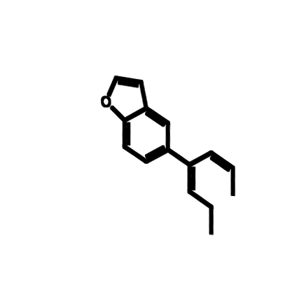 C/C=C\C(=C/CC)c1ccc2occc2c1